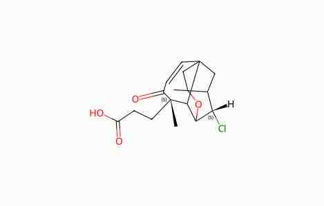 CC12CC34C=CC(=O)[C@@](C)(CCC(=O)O)C3C(O1)[C@@H](Cl)C2C4